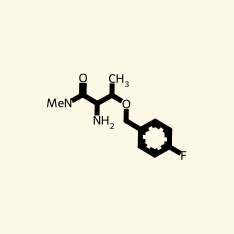 CNC(=O)C(N)C(C)OCc1ccc(F)cc1